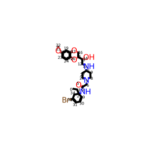 CCC1(NC(=O)CN2CCC(NCC(O)C3COc4cc(OC)ccc4O3)CC2)C=CC=C(Br)C1